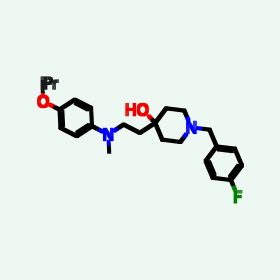 CC(C)Oc1ccc(N(C)CCC2(O)CCN(Cc3ccc(F)cc3)CC2)cc1